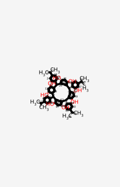 CC(C)c1ccc(C2c3cc(c(O)cc3O)C(c3ccc(C(C)C)cc3)c3cc(c(O)cc3O)[C@H](c3ccc(C(C)C)cc3)c3cc(c(O)cc3O)[C@H](c3ccc(C(C)C)cc3)c3cc2c(O)cc3O)cc1